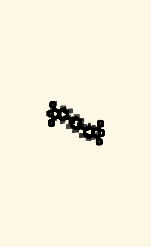 O=C1OC(=O)c2cc(N3CCN(c4ccc5c(c4)C(=O)OC5=O)CC3)ccc21